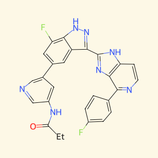 CCC(=O)Nc1cncc(-c2cc(F)c3[nH]nc(-c4nc5c(-c6ccc(F)cc6)nccc5[nH]4)c3c2)c1